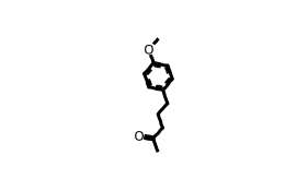 COc1ccc(CCCC(C)=O)cc1